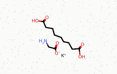 NCC(=O)[O-].O=C(O)CCCCCCCC(=O)O.[K+]